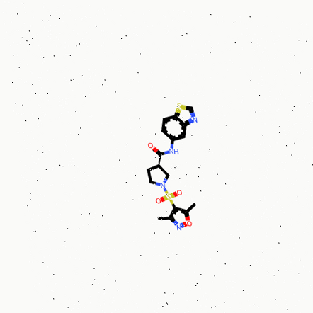 Cc1noc(C)c1S(=O)(=O)N1CC[C@@H](C(=O)Nc2ccc3scnc3c2)C1